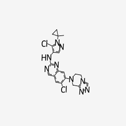 CC1(n2ncc(Nc3ncc4cc(Cl)c(N5CCn6cnnc6C5)cc4n3)c2Cl)CC1